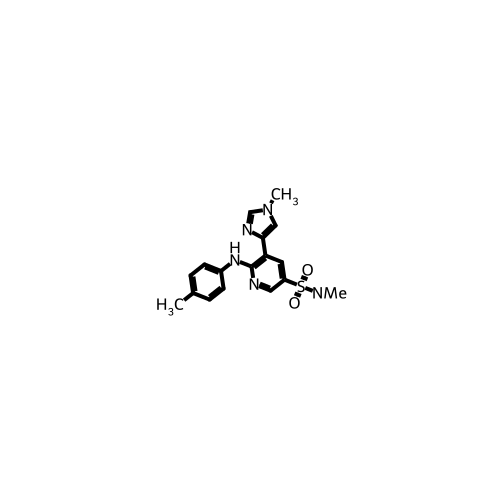 CNS(=O)(=O)c1cnc(Nc2ccc(C)cc2)c(-c2cn(C)cn2)c1